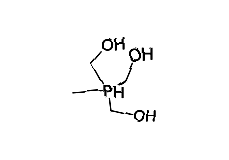 C[PH](CO)(CO)CO